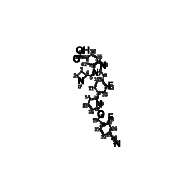 CN1CCC1Cn1c(Cc2ccc(-c3cccc(OCc4ccc(C#N)cc4F)n3)cc2F)nc2ccc(C(=O)O)cc21